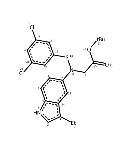 CCc1c[nH]c2ccc(N(CC(=O)OC(C)(C)C)Sc3cc(Cl)cc(Cl)c3)cc12